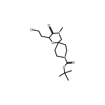 CN1CC2(CCN(C(=O)OC(C)(C)C)CC2)OC(CCCl)C1=O